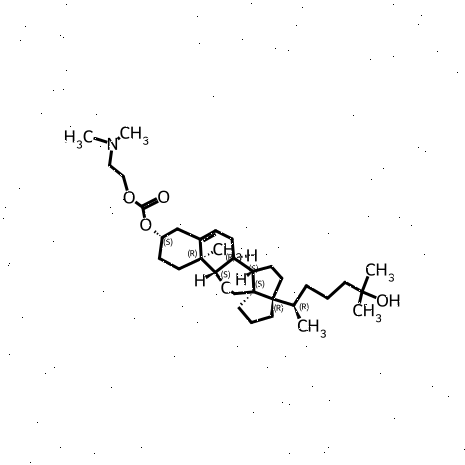 C[C@H](CCCC(C)(C)O)[C@]12CCC[C@@]13CC[C@H]1[C@@H](CC=C4C[C@@H](OC(=O)OCCN(C)C)CC[C@@]41C)[C@@H]3CC2